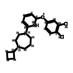 Clc1ccc(OC2C=C[C]=C(N3CCCN(C4CCC4)CC3)N2)cc1Cl